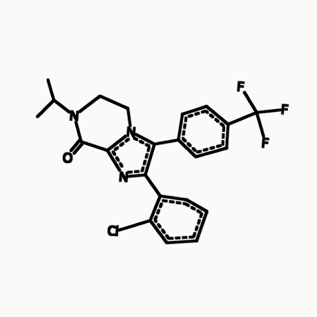 CC(C)N1CCn2c(nc(-c3ccccc3Cl)c2-c2ccc(C(F)(F)F)cc2)C1=O